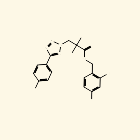 CCCc1ccc(-c2nnn(CC(C)(C)C(=O)NCc3ccc(Cl)cc3Cl)n2)cc1